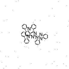 c1ccc(-n2c3ccccc3c3ccccc32)c(-c2cc(-n3c4ccccc4c4ccccc43)nc(-n3c4ccccc4n4c5ccccc5nc34)n2)c1